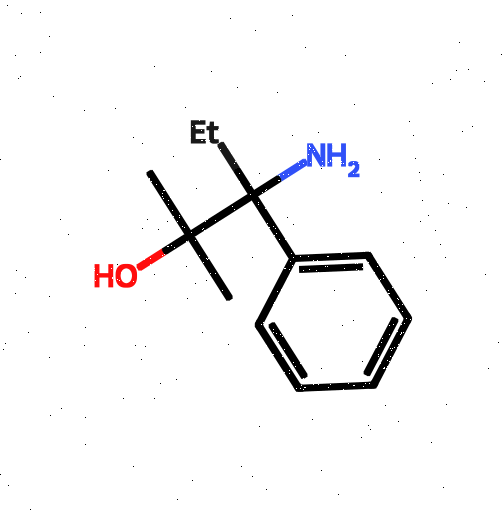 CCC(N)(c1ccccc1)C(C)(C)O